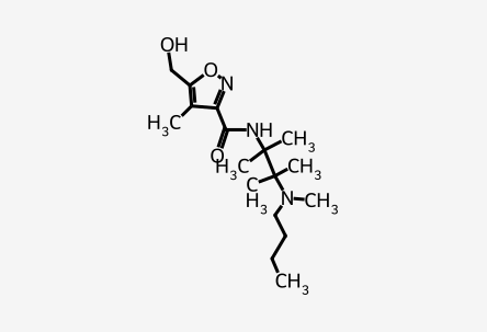 CCCCN(C)C(C)(C)C(C)(C)NC(=O)c1noc(CO)c1C